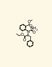 CCOC(=O)[C@H](Cc1ccccc1)N(C(N)=O)c1ccccc1C(=O)OC